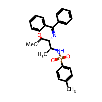 COC(=O)[C@H](N=C(c1ccccc1)c1ccccc1)[C@H](C)NS(=O)(=O)c1ccc(C)cc1